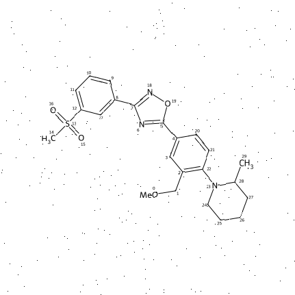 COCc1cc(-c2nc(-c3cccc(S(C)(=O)=O)c3)no2)ccc1N1CCCCC1C